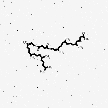 CC(=CCOC(=O)CCC(=O)OCC=C(C)CCCC(C)CCCC(C)CCCC(C)C)CCCC(C)CCCC(C)CCCC(C)C